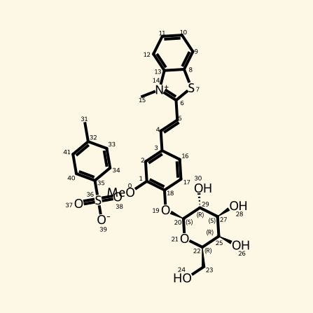 COc1cc(C=Cc2sc3ccccc3[n+]2C)ccc1O[C@@H]1O[C@H](CO)[C@H](O)[C@H](O)[C@H]1O.Cc1ccc(S(=O)(=O)[O-])cc1